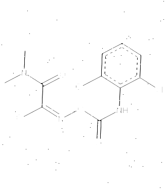 CN(C)C(=O)/C(Cl)=N\OC(=O)Nc1c(Cl)cccc1Cl